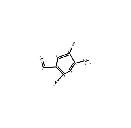 Nc1cc(F)c(C=O)cc1F